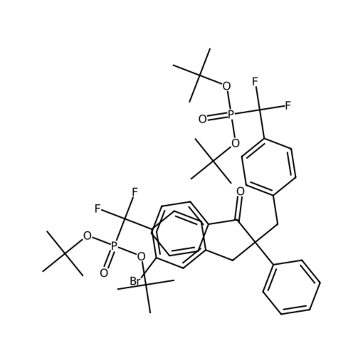 CC(C)(C)OP(=O)(OC(C)(C)C)C(F)(F)c1ccc(CC(Cc2ccc(C(F)(F)P(=O)(OC(C)(C)C)OC(C)(C)C)c(Br)c2)(C(=O)c2ccccc2)c2ccccc2)cc1